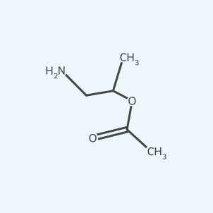 CC(=O)OC(C)CN